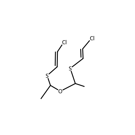 CC(OC(C)SC=CCl)SC=CCl